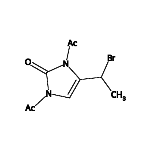 CC(=O)n1cc(C(C)Br)n(C(C)=O)c1=O